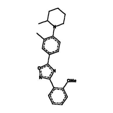 COc1ccccc1-c1noc(-c2ccc(N3CCCCC3C)c(C)c2)n1